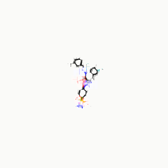 CCCN(C)S(=O)(=O)c1ccc(C(=O)N[C@@H](Cc2cc(F)cc(F)c2)[C@@H](O)CNCc2cccc(CC)c2)cc1